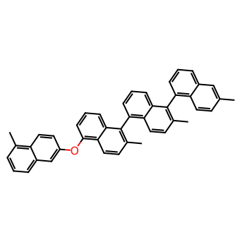 Cc1ccc2c(-c3c(C)ccc4c(-c5c(C)ccc6c(Oc7ccc8c(C)cccc8c7)cccc56)cccc34)cccc2c1